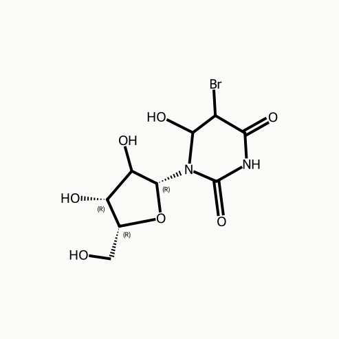 O=C1NC(=O)N([C@@H]2O[C@H](CO)[C@H](O)C2O)C(O)C1Br